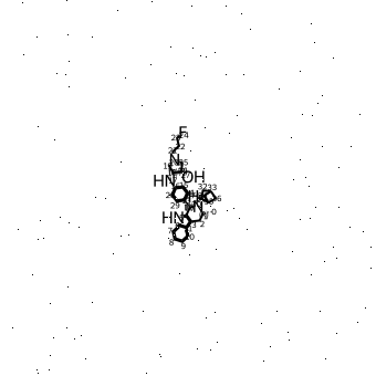 C[C@@H]1Cc2c([nH]c3ccccc23)[C@@H](c2ccc(N[C@@H]3CN(CCCF)C[C@H]3O)cc2)N1[C@@H]1CC2CC1C2